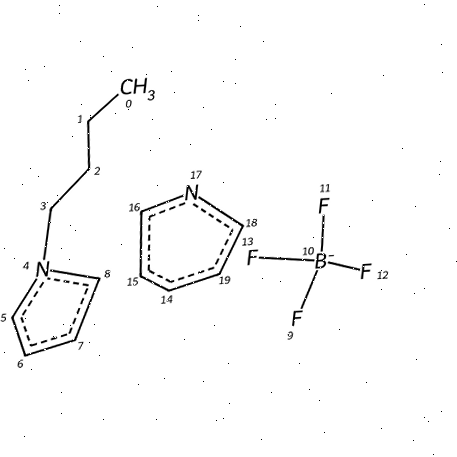 CCCCn1cccc1.F[B-](F)(F)F.c1ccncc1